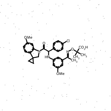 COc1cc(NC(C(=O)N2CC3(CC3)c3ccc(OC)cc32)c2ccc(Cl)cc2)cc(C(C)=NOC(C)(C)C(=O)O)c1